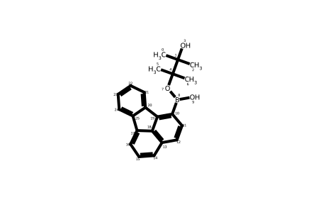 CC(C)(O)C(C)(C)OB(O)c1ccc2cccc3c2c1-c1ccccc1-3